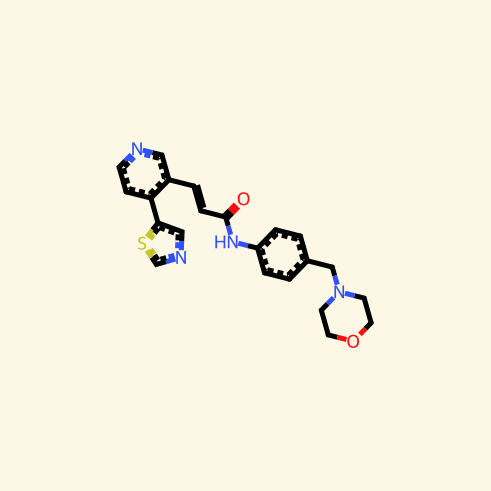 O=C(/C=C/c1cnccc1-c1cncs1)Nc1ccc(CN2CCOCC2)cc1